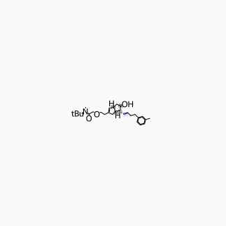 Cc1cccc(CC/C=C/[C@@H]2[C@H]3CC(CCOCC(=O)N(C)C(C)(C)C)=C[C@H]3C[C@H]2O)c1